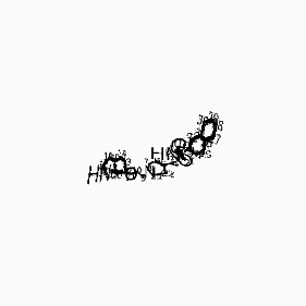 O=S(=O)(NCC1CCN(CCOc2ccc3cc[nH]c3c2)CC1)c1ccc2ccccc2c1